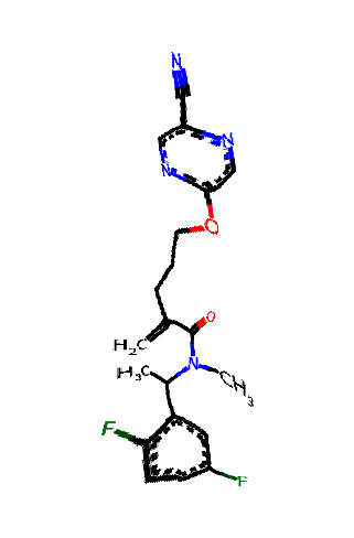 C=C(CCCOc1cnc(C#N)cn1)C(=O)N(C)C(C)c1cc(F)ccc1F